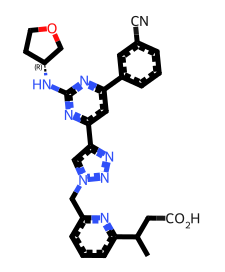 CC(CC(=O)O)c1cccc(Cn2cc(-c3cc(-c4cccc(C#N)c4)nc(N[C@@H]4CCOC4)n3)nn2)n1